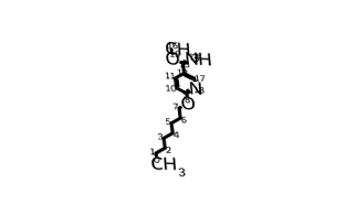 CCCCCCCCOc1ccc(C(=N)OC)cn1